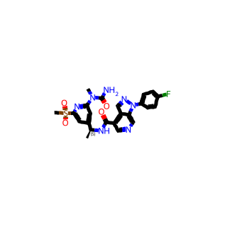 C[C@H](NC(=O)c1cncc2c1cnn2-c1ccc(F)cc1)c1cc(N(C)C(N)=O)nc(S(C)(=O)=O)c1